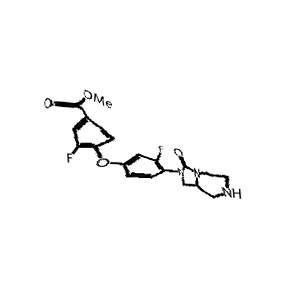 COC(=O)c1ccc(Oc2ccc(N3CC4CNCCN4C3=O)c(F)c2)c(F)c1